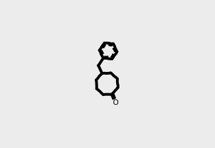 O=C1CCCC(Cc2ccccc2)CCC1